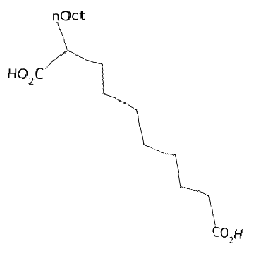 CCCCCCCCC(CCCCCCCC(=O)O)C(=O)O